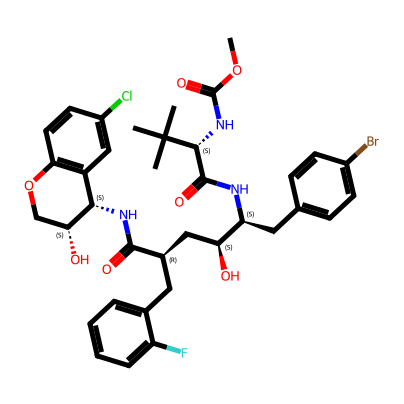 COC(=O)N[C@H](C(=O)N[C@@H](Cc1ccc(Br)cc1)[C@@H](O)C[C@@H](Cc1ccccc1F)C(=O)N[C@H]1c2cc(Cl)ccc2OC[C@H]1O)C(C)(C)C